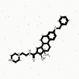 C[C@]12CCC3c4ccc(OCc5ccccc5)cc4CCC3C1CC(C(=O)NCCN1CCNCC1)[C@@H]2O